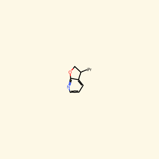 CC(C)C1COc2ncccc21